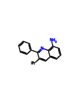 CC(C)c1cc2cccc(N)c2nc1-c1ccccc1